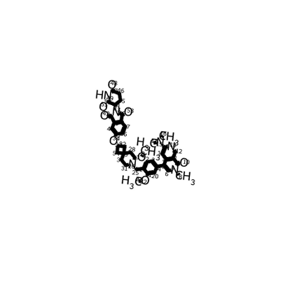 COc1cc(-c2cn(C)c(=O)c3cnc(N(C)C)cc23)cc(OC)c1CN1CCC2(CC1)CC(Oc1ccc3c(c1)C(=O)N(C1CCC(=O)NC1=O)C3=O)C2